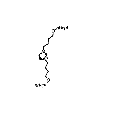 CCCCCCCOCCCCn1cc[n+](CCCCOCCCCCCC)c1